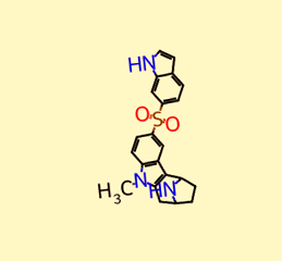 Cn1c2c(c3cc(S(=O)(=O)c4ccc5cc[nH]c5c4)ccc31)C1CCC(C2)N1